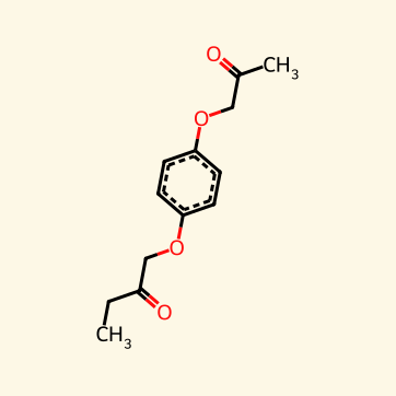 CCC(=O)COc1ccc(OCC(C)=O)cc1